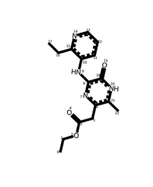 CCOC(=O)Cc1nc(Nc2cccnc2CC)c(=O)[nH]c1C